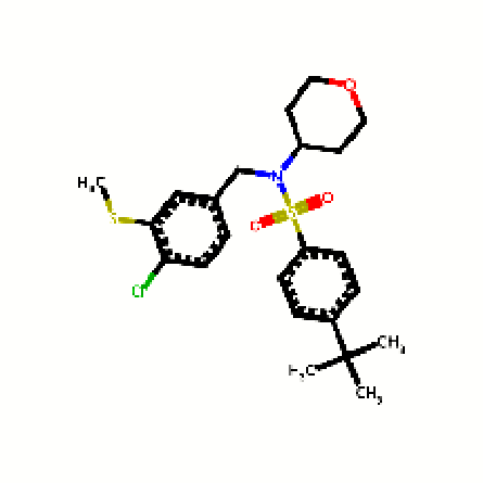 CSc1cc(CN(C2CCOCC2)S(=O)(=O)c2ccc(C(C)(C)C)cc2)ccc1Cl